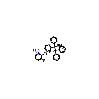 BC(c1ccccc1)(c1ccccc1)C(CC)(c1ccccc1)c1ccccc1.CCc1cccc(N)c1CC